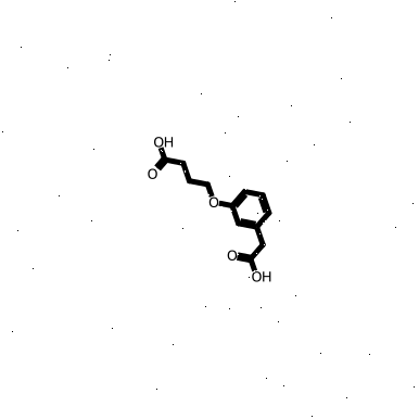 O=C(O)CCCOc1cccc(CC(=O)O)c1